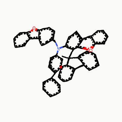 CC1(c2c(N(c3ccc(-c4ccccc4)cc3)c3ccc4oc5ccccc5c4c3)ccc3c2oc2ccccc23)c2ccccc2-c2ccccc21